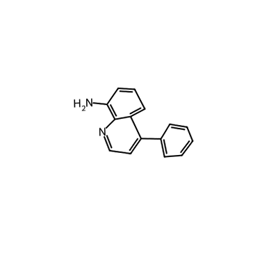 Nc1cccc2c(-c3ccccc3)ccnc12